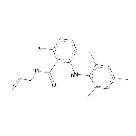 C=CCNC(=O)c1c(Br)cccc1Nc1c(C)cc(C)cc1C